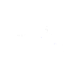 C=C(/C=C\C)NCC(=C)NCCCCCCCCC